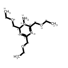 CCOCC1=NC(COCC)N(N)C(COCC)=N1